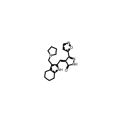 O=C1NN=C(c2ccno2)C1=Cc1[nH]c2c(c1CN1CCCC1)CCCC2